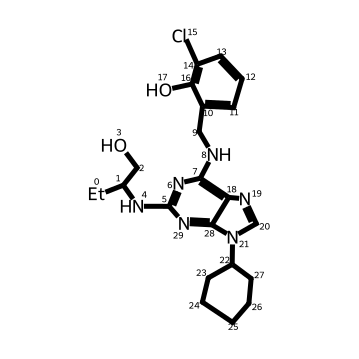 CCC(CO)Nc1nc(NCc2cccc(Cl)c2O)c2ncn(C3CCCCC3)c2n1